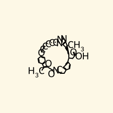 Cc1c2oc3cc(ccc13)OCCCCCn1nnc3c(C)c(ccc31)C(CC(=O)O)c1ccc3c(c1)CN(CC3)C2=O